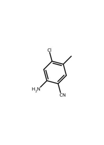 Cc1cc(C#N)c(N)cc1Cl